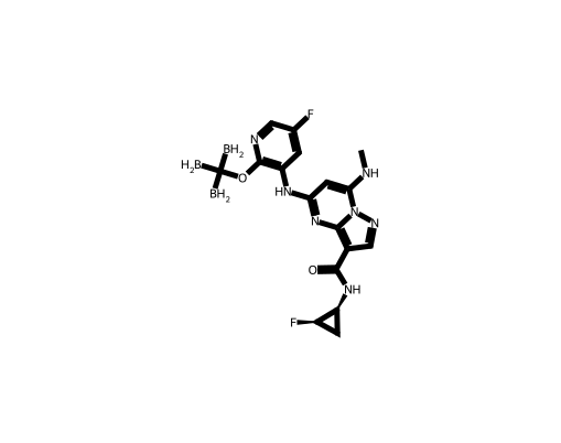 BC(B)(B)Oc1ncc(F)cc1Nc1cc(NC)n2ncc(C(=O)N[C@H]3C[C@H]3F)c2n1